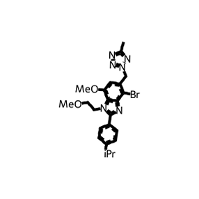 COCCn1c(-c2ccc(C(C)C)cc2)nc2c(Br)c(Cn3nnc(C)n3)cc(OC)c21